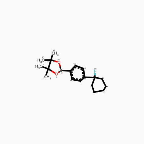 CC1(C)OB(c2ccc(C3(F)CCCCC3)cc2)OC1(C)C